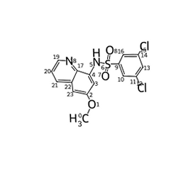 COc1cc(NS(=O)(=O)c2cc(Cl)cc(Cl)c2)c2ncccc2c1